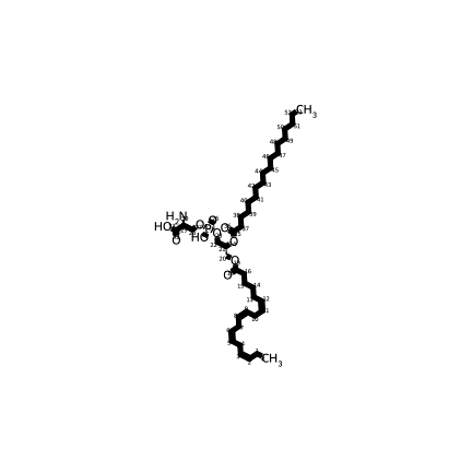 CC/C=C\C/C=C\C/C=C\C/C=C\CCCCC(=O)OC[C@H](COP(=O)(O)OC[C@H](N)C(=O)O)OC(=O)CCCCCCCCCCCCCCCCC